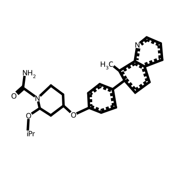 Cc1c(-c2ccc(OC3CCN(C(N)=O)C(OC(C)C)C3)cc2)ccc2cccnc12